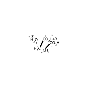 CC(=O)O.CC(=O)O.O.[Zn].[Zr]